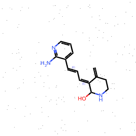 C=C1CCNC(O)/C1=C/C=C/c1cccnc1N